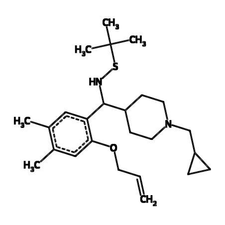 C=CCOc1cc(C)c(C)cc1C(NSC(C)(C)C)C1CCN(CC2CC2)CC1